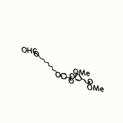 COC(=O)/C=C/c1ccc(OC(=O)c2ccc(OCCCCCCCCCOC=O)cc2)c(OC)c1